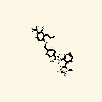 CCCc1c(OCc2ccc(S(=O)(=O)Nc3ccccc3C3=NNNN3C)cc2)ccc(C(C)=O)c1O